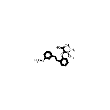 COc1cccc(CCc2ccccc2OC(C(C)O)N(C)C)c1